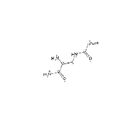 CCCCCC(=O)NCC(N)C(N)=O